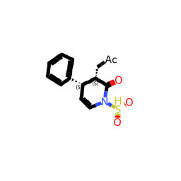 CC(=O)C[C@@H]1C(=O)N([SH](=O)=O)C=C[C@@H]1c1ccccc1